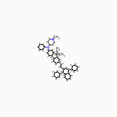 CN1CCC(N(c2ccccc2)c2ccc3c(c2)C(C)(C)c2cc(/C=C/c4cc(-c5ccccc5)c5ccccc5c4-c4ccccc4)ccc2-3)CC1